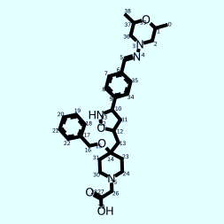 CC1CN(N=Cc2ccc(C3CC(CC4(OCc5ccccc5)CCN(CC(=O)O)CC4)ON3)cc2)CC(C)O1